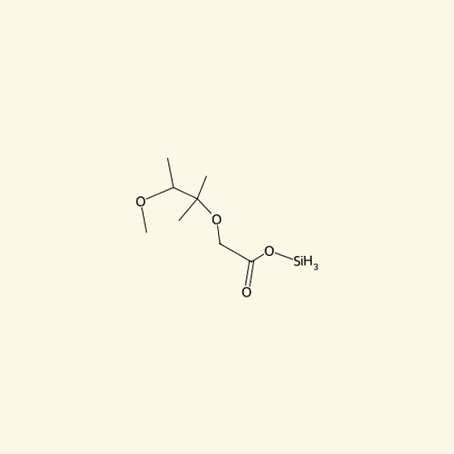 COC(C)C(C)(C)OCC(=O)O[SiH3]